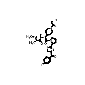 CCC(=O)N1CCC([C@H](NC(=O)[C@H](C)NC)C(=O)N2CCCC2C2=NC(C(=O)c3ccc(F)cc3)CS2)CC1